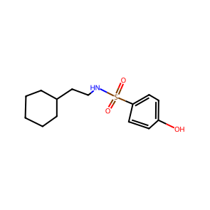 O=S(=O)(NCCC1CCCCC1)c1ccc(O)cc1